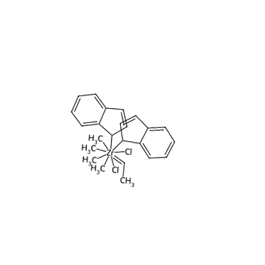 C[CH]=[Zr]([CH3])([CH3])([CH3])([CH3])([Cl])([Cl])([CH]1C=Cc2ccccc21)[CH]1C=Cc2ccccc21